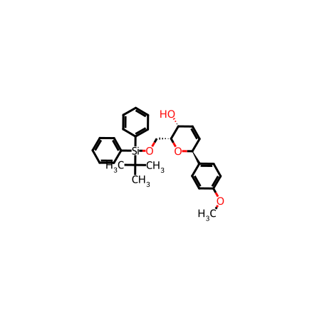 COc1ccc([C@@H]2C=C[C@@H](O)[C@@H](CO[Si](c3ccccc3)(c3ccccc3)C(C)(C)C)O2)cc1